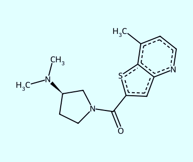 Cc1ccnc2cc(C(=O)N3CC[C@@H](N(C)C)C3)sc12